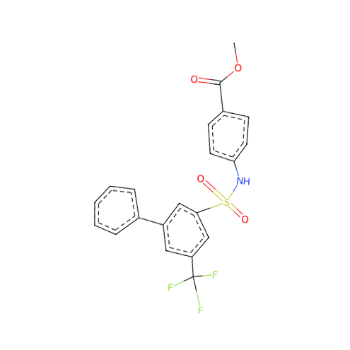 COC(=O)c1ccc(NS(=O)(=O)c2cc(-c3ccccc3)cc(C(F)(F)F)c2)cc1